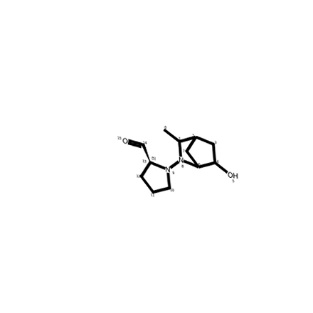 CC1C2CC(O)C(C2)N1N1CCC[C@H]1C=O